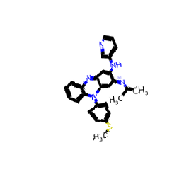 CSc1ccc(-n2c3c/c(=N\C(C)C)c(Nc4cccnc4)cc-3nc3ccccc32)cc1